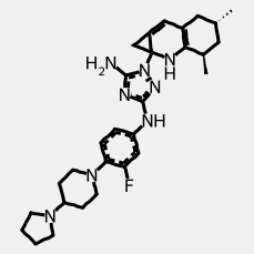 C[C@H]1CC2=C(NC3(n4nc(Nc5ccc(N6CCC(N7CCCC7)CC6)c(F)c5)nc4N)CC3=C2)[C@H](C)C1